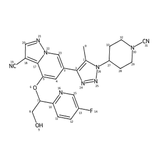 Cc1c(-c2cc(OC(CO)c3ccc(F)cn3)c3c(C#N)cnn3c2)nnn1C1CCN(C#N)CC1